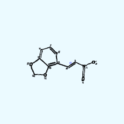 O=[N+]([O-])/C=C/c1cccc2c1OCO2